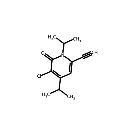 C#Cc1cc(C(C)C)c(Cl)c(=O)n1C(C)C